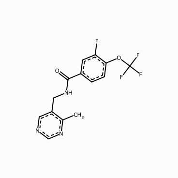 Cc1ncncc1CNC(=O)c1ccc(OC(F)(F)F)c(F)c1